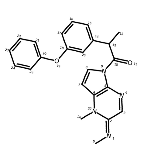 C/N=c1/cnc2c(ccn2C(=O)C(C)c2cccc(Oc3ccccc3)c2)n1C